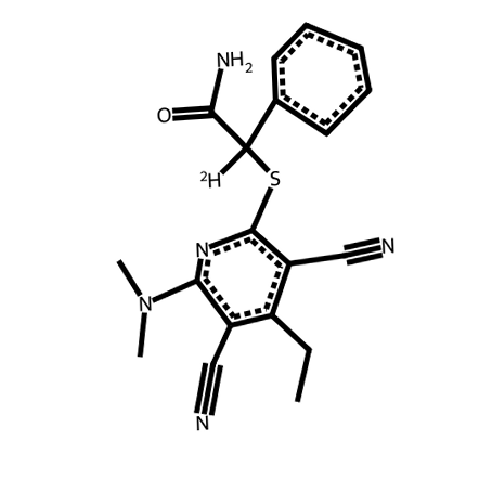 [2H]C(Sc1nc(N(C)C)c(C#N)c(CC)c1C#N)(C(N)=O)c1ccccc1